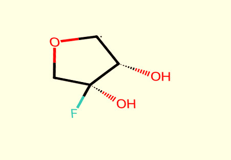 O[C@H]1[CH]OC[C@]1(O)F